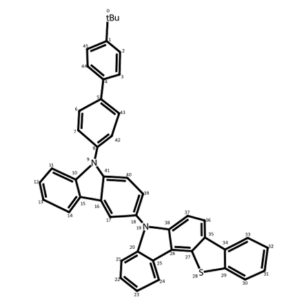 CC(C)(C)c1ccc(-c2ccc(-n3c4ccccc4c4cc(-n5c6ccccc6c6c7sc8ccccc8c7ccc65)ccc43)cc2)cc1